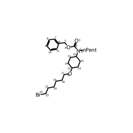 CCCCCN(C(=O)OCc1ccccc1)C1CCC(OCCCCCCBr)CC1